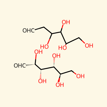 O=CCC(O)C(O)C(O)CO.O=C[C@H](O)[C@@H](O)[C@H](O)[C@H](O)CO